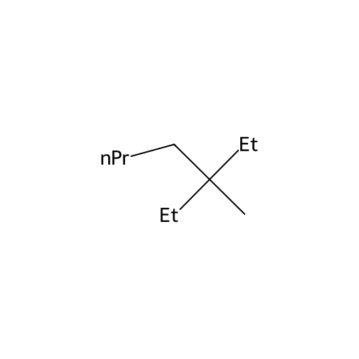 [CH2]CCCC(C)(C[CH2])CC